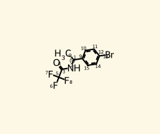 C[C@H](NC(=O)C(F)(F)F)c1ccc(Br)cc1